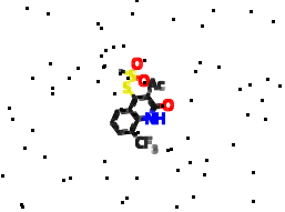 CC(=O)c1c(SS(C)(=O)=O)c2cccc(C(F)(F)F)c2[nH]c1=O